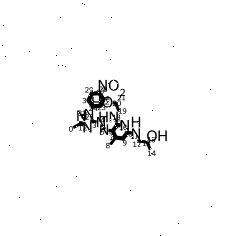 Cc1nc(N=Nc2c(C)cc(NCC(C)O)nc2NC[C@@H](C)O)n(-c2ccc([N+](=O)[O-])cc2)n1